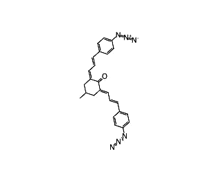 CC1CC(=CC=Cc2ccc(N=[N+]=[N-])cc2)C(=O)C(=CC=Cc2ccc(N=[N+]=[N-])cc2)C1